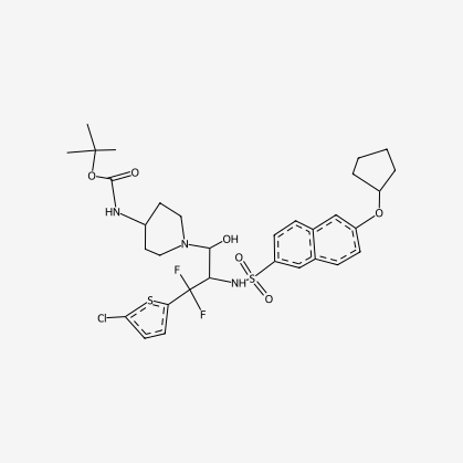 CC(C)(C)OC(=O)NC1CCN(C(O)C(NS(=O)(=O)c2ccc3cc(OC4CCCC4)ccc3c2)C(F)(F)c2ccc(Cl)s2)CC1